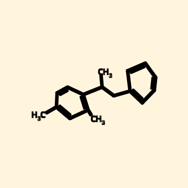 Cc1ccc(C(C)Cc2ccccc2)c(C)c1